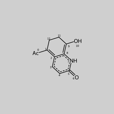 CC(=O)C1=c2ccc(=O)[nH]c2=C(O)CC1